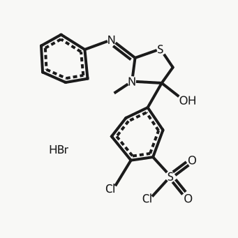 Br.CN1/C(=N\c2ccccc2)SCC1(O)c1ccc(Cl)c(S(=O)(=O)Cl)c1